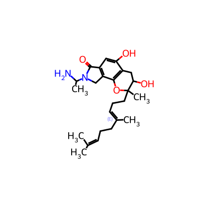 CC(C)=CCC/C(C)=C/CCC1(C)Oc2c(c(O)cc3c2CN(C(C)N)C3=O)CC1O